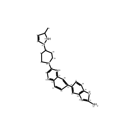 CC1C=CN(C2CCN(c3cnc4ccc(-c5ccc6oc(N)nc6c5)cc4n3)CC2)N1